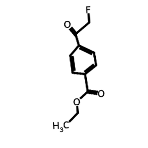 CCOC(=O)c1ccc(C(=O)CF)cc1